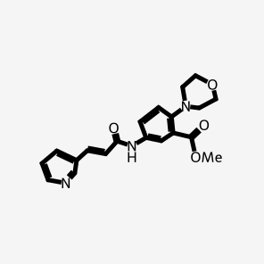 COC(=O)c1cc(NC(=O)C=Cc2cccnc2)ccc1N1CCOCC1